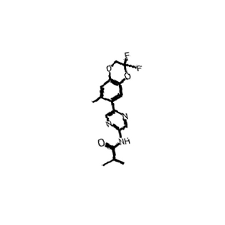 Cc1cc2c(cc1-c1cnc(NC(=O)C(C)C)cn1)OC(F)(F)CO2